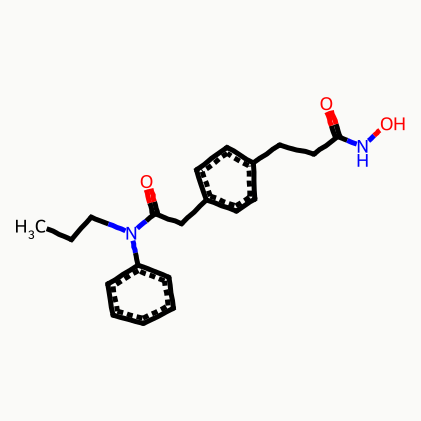 CCCN(C(=O)Cc1ccc(CCC(=O)NO)cc1)c1ccccc1